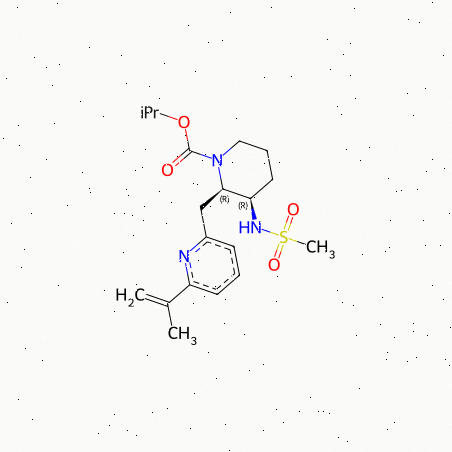 C=C(C)c1cccc(C[C@@H]2[C@H](NS(C)(=O)=O)CCCN2C(=O)OC(C)C)n1